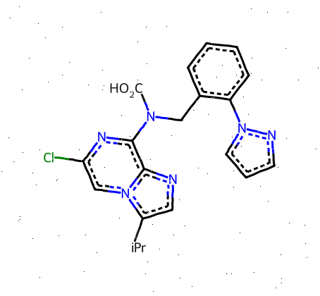 CC(C)c1cnc2c(N(Cc3ccccc3-n3cccn3)C(=O)O)nc(Cl)cn12